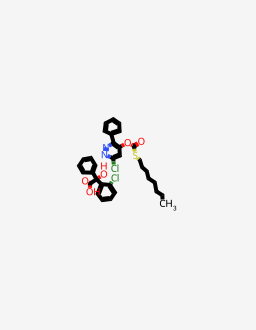 CCCCCCCCSC(=O)Oc1cc(Cl)nnc1-c1ccccc1.O=C(O)C(O)(c1ccccc1)c1ccccc1Cl